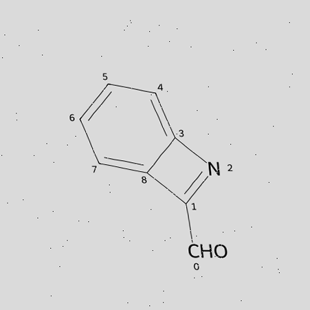 O=CC1=Nc2ccccc21